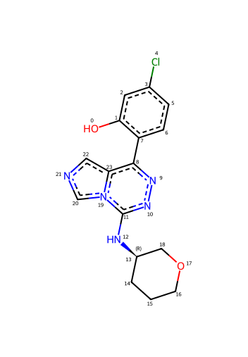 Oc1cc(Cl)ccc1-c1nnc(N[C@@H]2CCCOC2)n2cncc12